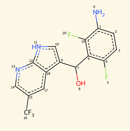 Nc1ccc(F)c(C(O)c2c[nH]c3ncc(C(F)(F)F)cc23)c1F